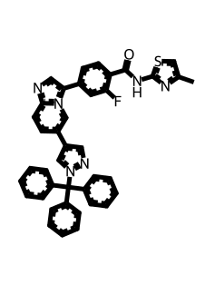 Cc1csc(NC(=O)c2ccc(-c3cnc4ccc(-c5cnn(C(c6ccccc6)(c6ccccc6)c6ccccc6)c5)cn34)cc2F)n1